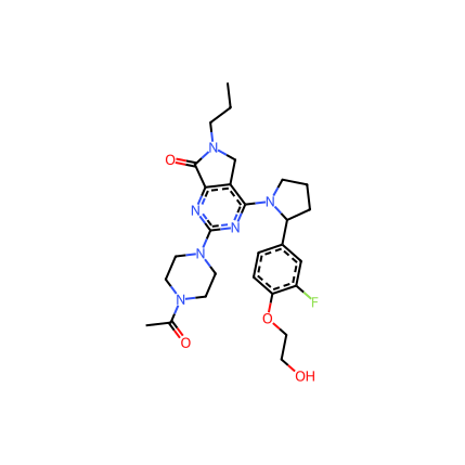 CCCN1Cc2c(nc(N3CCN(C(C)=O)CC3)nc2N2CCCC2c2ccc(OCCO)c(F)c2)C1=O